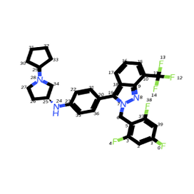 Fc1cc(F)c(Cn2nc3c(C(F)(F)F)cccc3c2-c2ccc(N[C@@H]3CCN(C4CCCC4)C3)cc2)c(F)c1